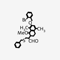 CO[C@H]1c2c(C)c(OCc3ccccc3Br)cc(C)c2CCC1C(C=O)CSCc1ccccc1